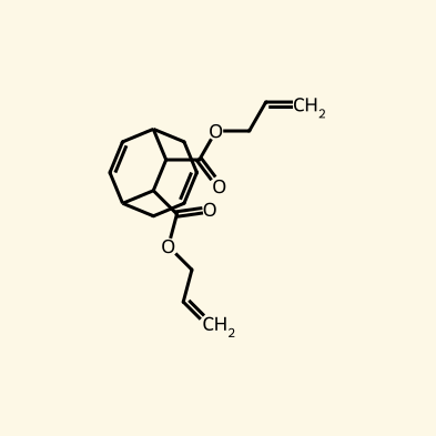 C=CCOC(=O)C1C2C=CC(C/C=C\C2)C1C(=O)OCC=C